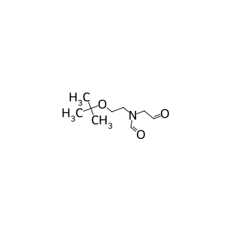 CC(C)(C)OCCN(C=O)CC=O